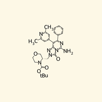 Cc1cc(-c2c(-c3ccccc3)nc(N)n3c(=O)n(C[C@H]4COCCN4C(=O)OC(C)(C)C)nc23)cc(C)n1